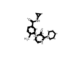 Cc1ccc(C(=O)NC2CC2)cc1-n1ccnc(N2CCCCC2)c1=O